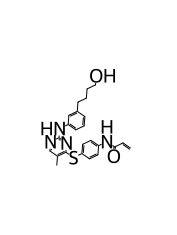 C=CC(=O)Nc1ccc(Sc2nc(Nc3cccc(CCCCO)c3)ncc2C)cc1